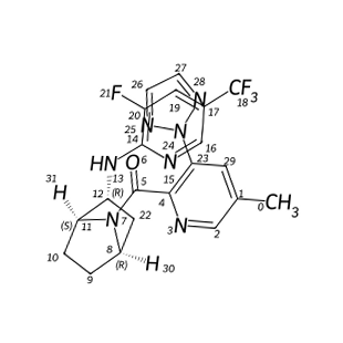 Cc1cnc(C(=O)N2[C@@H]3CC[C@H]2[C@H](Nc2ncc(C(F)(F)F)cc2F)C3)c(-n2nccn2)c1